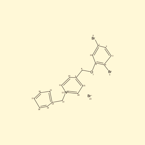 Brc1ccc(Br)c(OCc2cc[n+](Cc3ccccc3)cc2)c1.[Br-]